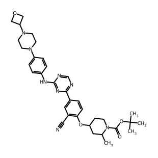 CC1CC(Oc2ccc(-c3ncnc(Nc4ccc(N5CCN(C6COC6)CC5)cc4)n3)cc2C#N)CCN1C(=O)OC(C)(C)C